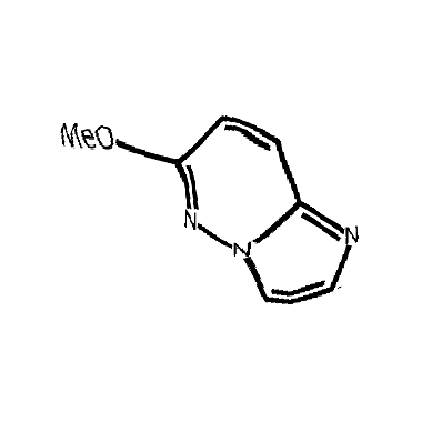 COc1ccc2n[c]cn2n1